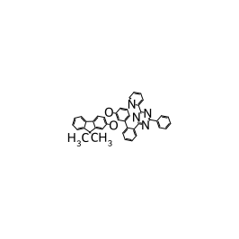 CC1(C)c2ccccc2-c2cc3c(cc21)Oc1c(cccc1-c1ccccc1-c1nc(-c2ccccc2)nc(-c2ccccn2)n1)O3